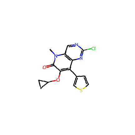 Cn1c(=O)c(OC2CC2)c(-c2ccsc2)c2nc(Cl)ncc21